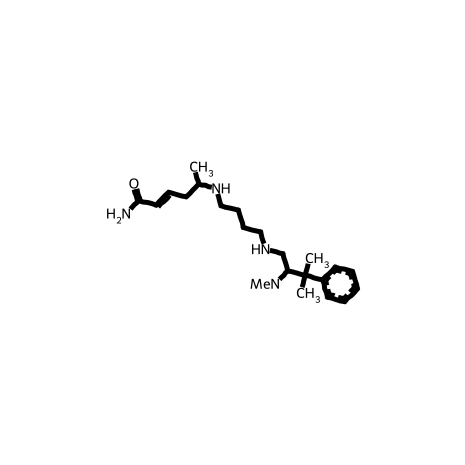 CNC(CNCCCCNC(C)CC=CC(N)=O)C(C)(C)c1ccccc1